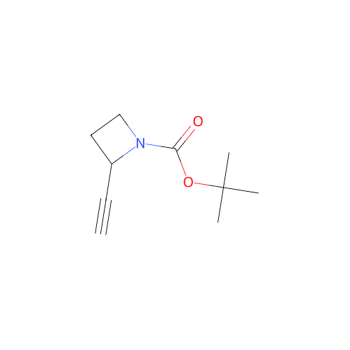 C#CC1CCN1C(=O)OC(C)(C)C